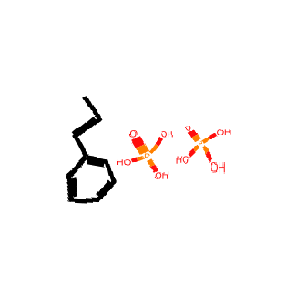 CC=Cc1ccccc1.O=P(O)(O)O.O=P(O)(O)O